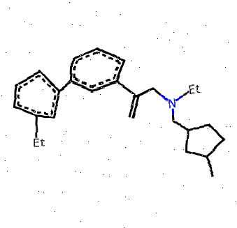 C=C(CN(CC)CC1CCC(C)C1)c1cccc(-c2cccc(CC)c2)c1